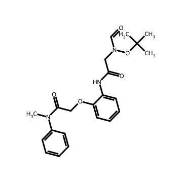 CN(C(=O)COc1ccccc1NC(=O)CN(C=O)OC(C)(C)C)c1ccccc1